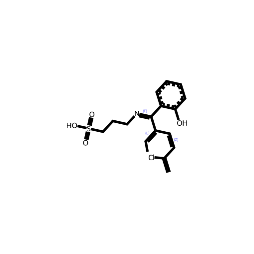 C=C(Cl)\C=C/C(=C\C)C(=N\CCCS(=O)(=O)O)/c1ccccc1O